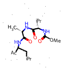 COC(=O)N[C@H](C(=O)N[C@@H](C)C(=O)NC(CC(C)C)C(C)=O)C(C)C